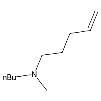 C=CCCCN(C)CCCC